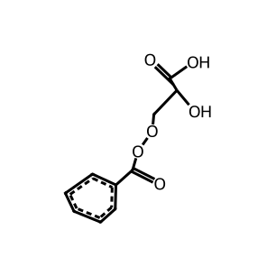 O=C(OOCC(O)C(=O)O)c1ccccc1